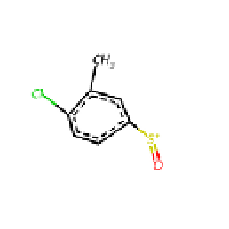 Cc1cc([S+]=O)ccc1Cl